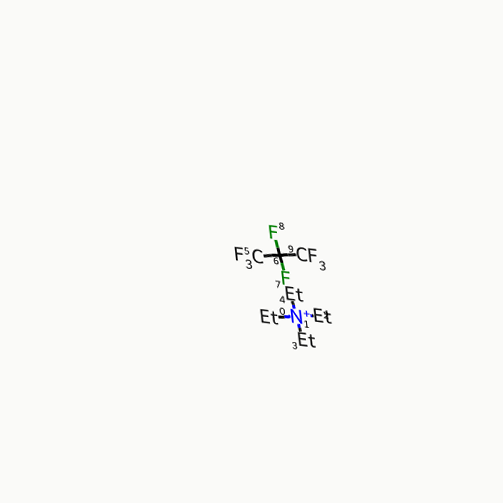 CC[N+](CC)(CC)CC.FC(F)(F)C(F)(F)C(F)(F)F